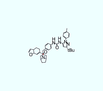 Cc1ccc(-n2nc(C(C)(C)C)cc2NC(=O)Nc2ccc(CC3CC4CCC(C3)N4C(=O)C3=CC4OC=CC4CC3)cc2)cc1